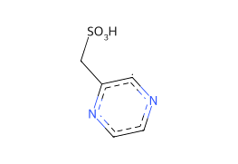 O=S(=O)(O)Cc1[c]nccn1